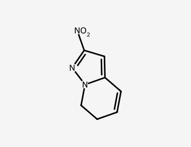 O=[N+]([O-])c1cc2n(n1)CCC=C2